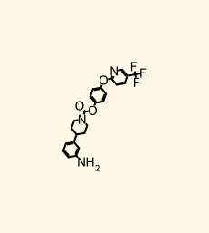 Nc1cccc(C2CCN(C(=O)Oc3ccc(Oc4ccc(C(F)(F)F)cn4)cc3)CC2)c1